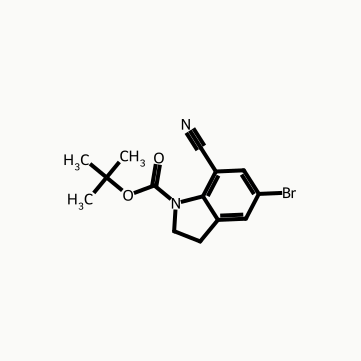 CC(C)(C)OC(=O)N1CCc2cc(Br)cc(C#N)c21